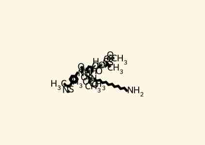 Cc1ncsc1-c1ccc(CNC(=O)[C@@H]2C[C@@H](OC(=O)OCC(C)(C)SS(C)(=O)=O)CN2C(=O)[C@@H](NC(=O)CCCCCCCCCCN)C(C)(C)C)cc1